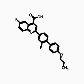 CCCOc1ccc(-c2ccc(-c3cc(C(=O)O)c4cc(F)ccc4n3)cc2F)cc1